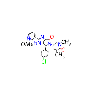 COc1ncccc1-c1nc2c([nH]1)[C@H](c1ccc(Cl)cc1)N(c1cc(C)c(=O)n(C)c1)C2=O